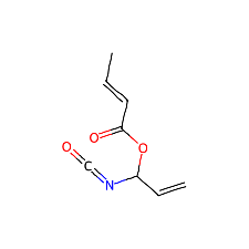 C=CC(N=C=O)OC(=O)C=CC